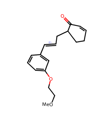 COCCOc1cccc(/C=C/CC2CCC=CC2=O)c1